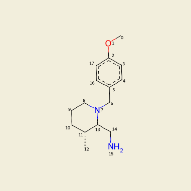 COc1ccc(CN2CCC[C@@H](C)C2CN)cc1